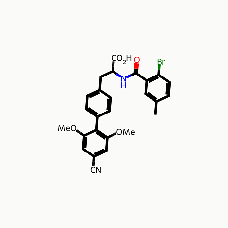 COc1cc(C#N)cc(OC)c1-c1ccc(CC(NC(=O)c2cc(C)ccc2Br)C(=O)O)cc1